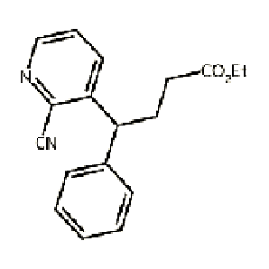 CCOC(=O)CCC(c1ccccc1)c1cccnc1C#N